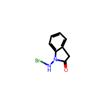 O=C1Cc2ccccc2N1NBr